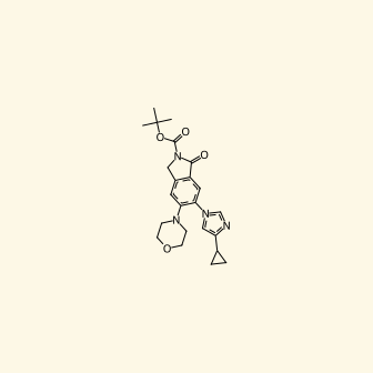 CC(C)(C)OC(=O)N1Cc2cc(N3CCOCC3)c(-n3cnc(C4CC4)c3)cc2C1=O